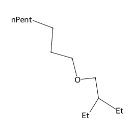 [CH2]CCCCCCCOCC(CC)CC